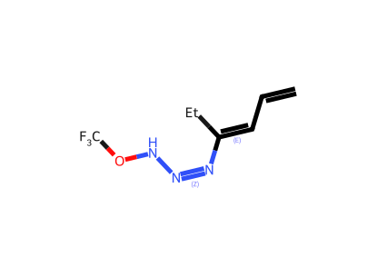 C=C/C=C(CC)/N=N\NOC(F)(F)F